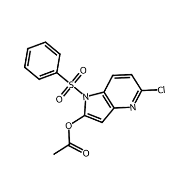 CC(=O)Oc1cc2nc(Cl)ccc2n1S(=O)(=O)c1ccccc1